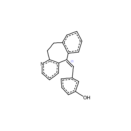 Oc1cccc(/C=C2/c3ccccc3CCc3ncccc32)c1